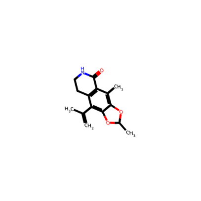 C=C(C)c1c2c(c(C)c3c1OC(C)O3)C(=O)NCC2